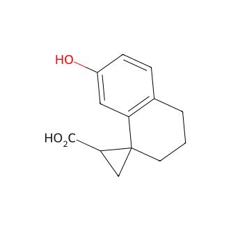 O=C(O)C1CC12CCCc1ccc(O)cc12